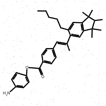 CCCCCc1cc2c(cc1C(C)=Cc1ccc(C(=O)Oc3ccc(N)cc3)cc1)C(C)(C)C(C)C2(C)C